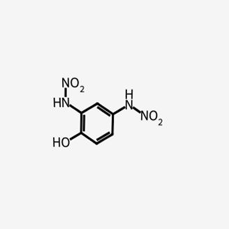 O=[N+]([O-])Nc1ccc(O)c(N[N+](=O)[O-])c1